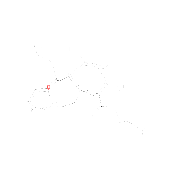 CCOC(=O)c1c(C)nc(C)c(C(=O)OCC)c1Cc1ccccc1